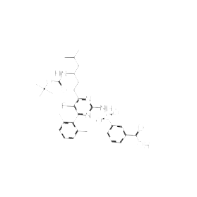 Cc1cccc(C)c1-c1nc(NS(=O)(=O)c2cccc(C(=O)O)c2)nc(CCC(CC(C)C)NC(=O)OC(C)(C)C)c1F